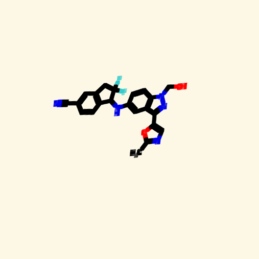 Cc1ncc(-c2nn(CO)c3ccc(NC4c5ccc(C#N)cc5CC4(F)F)cc23)o1